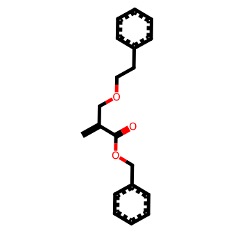 C=C(COCCc1ccccc1)C(=O)OCc1ccccc1